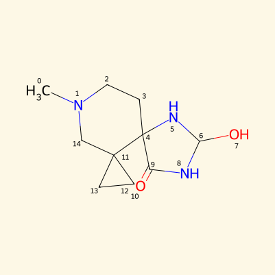 CN1CCC2(NC(O)NC2=O)C2(CC2)C1